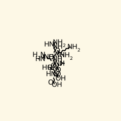 CC(C)C[C@H](NC(=O)[C@H](CCCNC(=N)N)NC(=O)[C@H](CCCNC(=N)N)NC(=O)[C@@H](N)CCCCN)C(=O)N[C@H](C(=O)N[C@@H](CCC(=O)O)C(=O)O)[C@@H](C)O